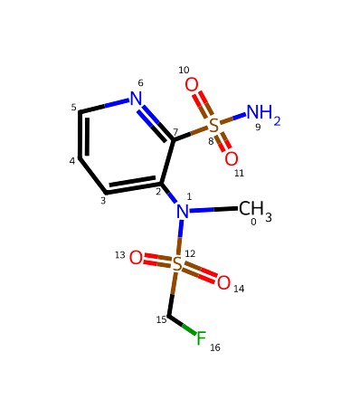 CN(c1cccnc1S(N)(=O)=O)S(=O)(=O)CF